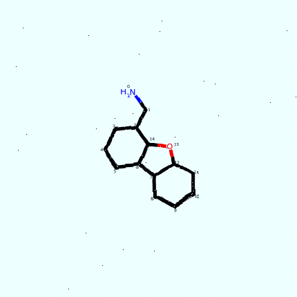 NCC1CCCC2C3CCCCC3OC12